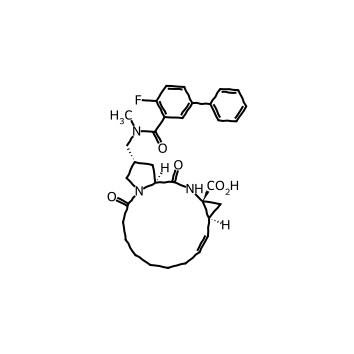 CN(C[C@@H]1C[C@H]2C(=O)N[C@]3(C(=O)O)C[C@H]3/C=C\CCCCCCC(=O)N2C1)C(=O)c1cc(-c2ccccc2)ccc1F